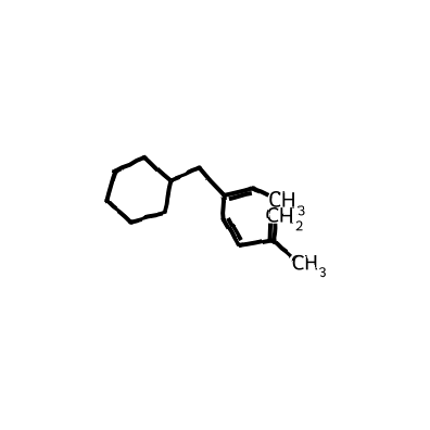 C=C(C)/C=C\C(=C/C)CC1CCCCC1